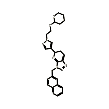 C1=c2nnn(Cc3ccc4ncccc4c3)c2=NC(c2cnn(CCOC3CCCCO3)c2)C1